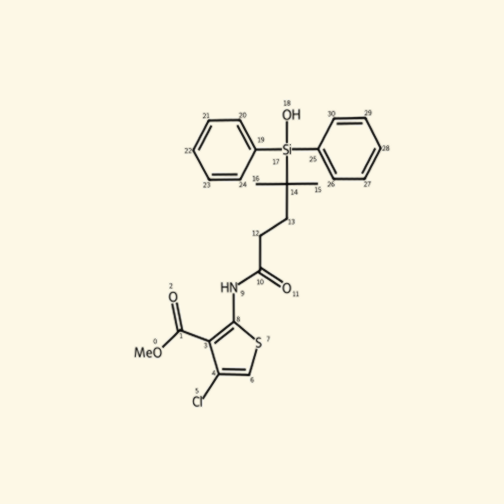 COC(=O)c1c(Cl)csc1NC(=O)CCC(C)(C)[Si](O)(c1ccccc1)c1ccccc1